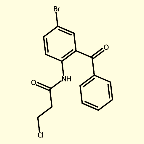 O=C(CCCl)Nc1ccc(Br)cc1C(=O)c1ccccc1